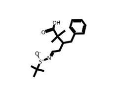 CC(C)(C(=O)O)C(CC=N[S@@+]([O-])C(C)(C)C)Cc1ccccc1